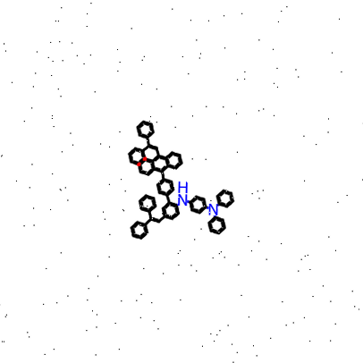 C(=C(c1ccccc1)c1ccccc1)c1ccc(Nc2ccc(N(c3ccccc3)c3ccccc3)cc2)c(-c2ccc(-c3c4ccccc4c(C=C(c4ccccc4)c4ccccc4)c4ccccc34)cc2)c1